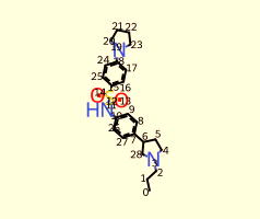 CCCN1CCC(c2ccc(NS(=O)(=O)c3ccc(N4CCCC4)cc3)cc2)C1